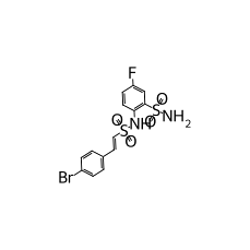 NS(=O)(=O)c1cc(F)ccc1NS(=O)(=O)/C=C/c1ccc(Br)cc1